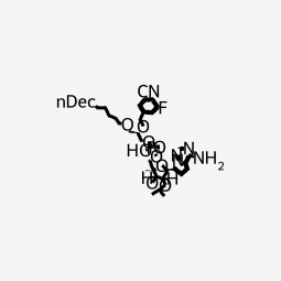 CCCCCCCCCCCCCCCOC[C@H](COP(=O)(O)OC[C@@]1(C)O[C@@H](c2ccc3c(N)ncnn23)[C@@H]2OC(C)(C)O[C@@H]21)OCc1cc(F)cc(C#N)c1